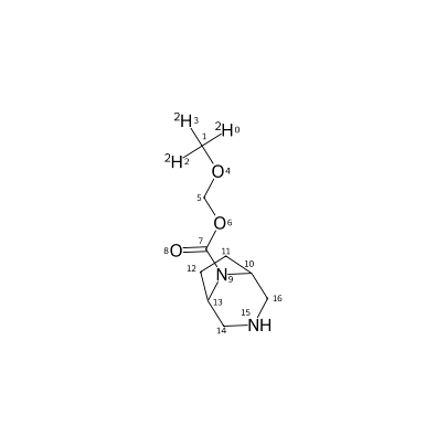 [2H]C([2H])([2H])OCOC(=O)N1C2CCC1CNC2